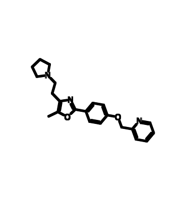 Cc1oc(-c2ccc(OCc3ccccn3)cc2)nc1CCN1CCCC1